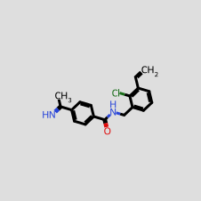 C=Cc1cccc(CNC(=O)c2ccc(C(C)=N)cc2)c1Cl